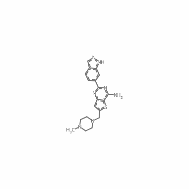 CN1CCN(Cc2cc3nc(-c4ccc5cn[nH]c5c4)nc(N)c3s2)CC1